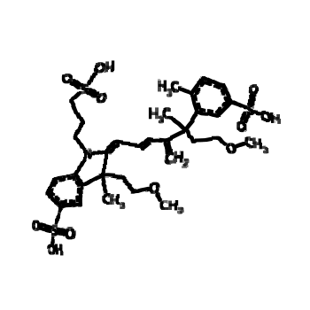 C=C(/C=C/C=C1/N(CCCS(=O)(=O)O)c2ccc(S(=O)(=O)O)cc2C1(C)CCOC)C(C)(CCOC)c1cc(S(=O)(=O)O)ccc1C